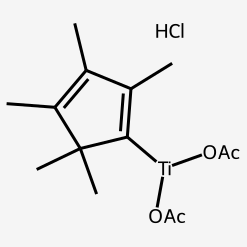 CC(=O)[O][Ti]([O]C(C)=O)[C]1=C(C)C(C)=C(C)C1(C)C.Cl